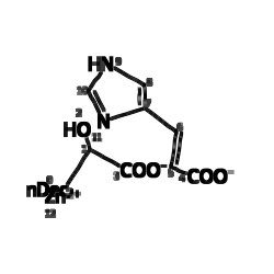 CCCCCCCCCCC(O)C(=O)[O-].O=C([O-])C=Cc1c[nH]cn1.[Zn+2]